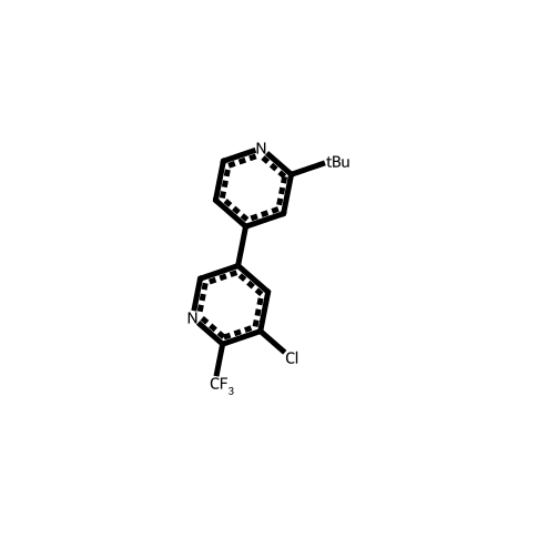 CC(C)(C)c1cc(-c2cnc(C(F)(F)F)c(Cl)c2)ccn1